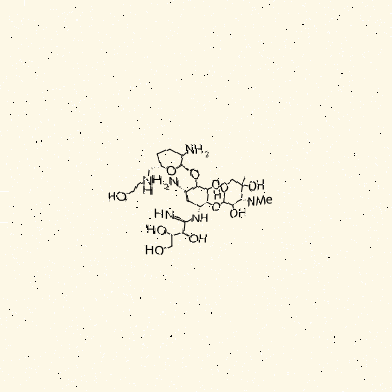 CN[C@@H]1C(O)[C@@H](OC2C(O)C(O[C@H]3O[C@H](CNCCO)CCC3N)[C@@H](N)C[C@H]2NC(=N)C(O)C(O)CO)OCC1(C)O